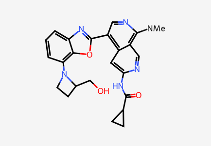 CNc1ncc(-c2nc3cccc(N4CCC4CO)c3o2)c2cc(NC(=O)C3CC3)ncc12